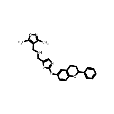 Cc1noc(C)c1CNCc1cnc(Oc2ccc3c(c2)CCC(c2ccccc2)O3)s1